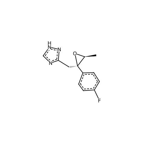 C[C@@H]1O[C@]1(Cc1nc[nH]n1)c1ccc(F)cc1